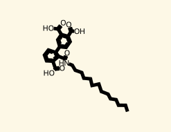 CCCCCCCCCCCCCCNC(=O)c1c(C(=O)O)cccc1-c1ccc(C(=O)O)c(C(=O)O)c1